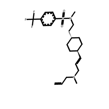 C=CCN(C)C/C=C/[C@H]1CC[C@H](CCN(C)S(=O)(=O)c2ccc(C(F)(F)F)cc2)CC1